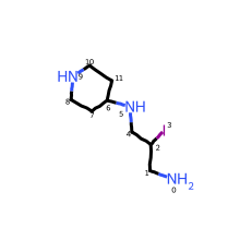 NCC(I)CNC1CCNCC1